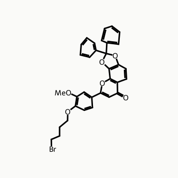 COc1cc(-c2cc(=O)c3ccc4c(c3o2)OC(c2ccccc2)(c2ccccc2)O4)ccc1OCCCCBr